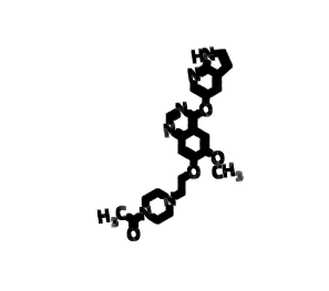 COc1cc2c(Oc3cnc4[nH]ccc4c3)ncnc2cc1OCCN1CCN(C(C)=O)CC1